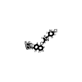 O=S(=O)(Nc1ccc2c(OCc3csc(-c4ccc(Cl)nc4)n3)cccc2c1)C(F)(F)F